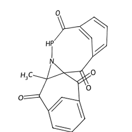 CC12C(=O)c3cccc(c3)C(=O)C13C(=O)c1cccc(c1)C(=O)PN23